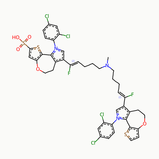 CN(CCC/C=C(\F)c1cn(-c2ccc(Cl)cc2Cl)c2c1CCOc1ccsc1-2)CCC/C=C(\F)c1cn(-c2ccc(Cl)cc2Cl)c2c1CCOc1cc(S(=O)(=O)O)sc1-2